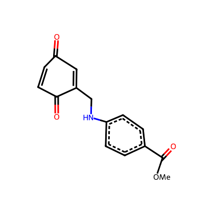 COC(=O)c1ccc(NCC2=CC(=O)C=CC2=O)cc1